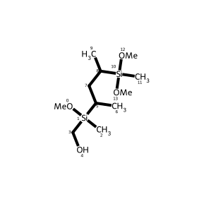 CO[Si](C)(CO)C(C)CC(C)[Si](C)(OC)OC